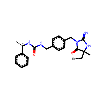 CC(C)CC1(C)NC(=N)N(Cc2ccc(CNC(=O)N[C@@H](C)c3ccccc3)cc2)C1=O